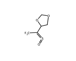 O=S=C(C1COCO1)C(F)(F)F